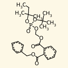 CCC(C)(C)OP(=O)(OCOC(=O)c1ccccc1C(=O)OCc1ccccc1)OC(C)(C)C